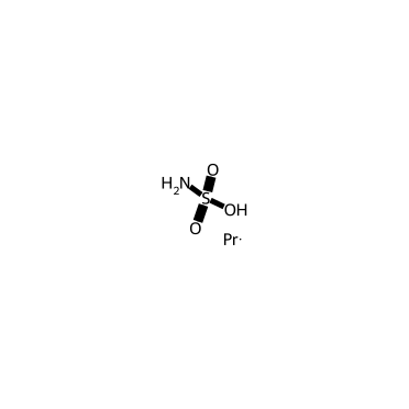 NS(=O)(=O)O.[Pr]